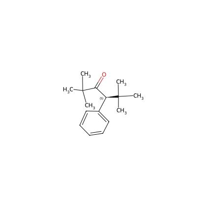 CC(C)(C)C(=O)[C@H](c1ccccc1)C(C)(C)C